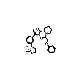 O=C(COc1ccccc1)N1CCCC[C@@H]1c1nc(-c2cccc(N3CCCS3(=O)=O)c2)no1